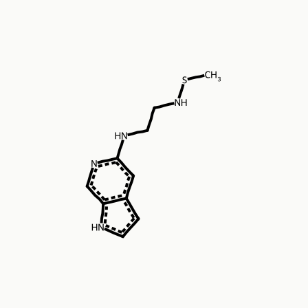 CSNCCNc1cc2cc[nH]c2cn1